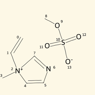 C=C[N+]1(C)C=CN=C1.COS(=O)(=O)[O-]